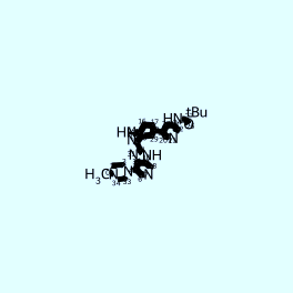 CN1CCN(c2cncc3[nH]c(-c4n[nH]c5ccc(-c6cncc(NC(=O)C(C)(C)C)c6)cc45)nc23)CC1